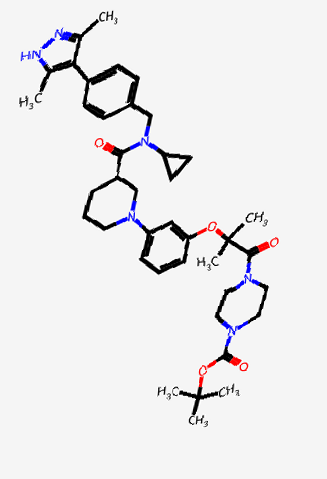 Cc1n[nH]c(C)c1-c1ccc(CN(C(=O)[C@@H]2CCCN(c3cccc(OC(C)(C)C(=O)N4CCN(C(=O)OC(C)(C)C)CC4)c3)C2)C2CC2)cc1